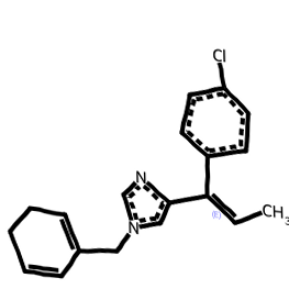 C/C=C(\c1ccc(Cl)cc1)c1cn(CC2=CCCC=C2)cn1